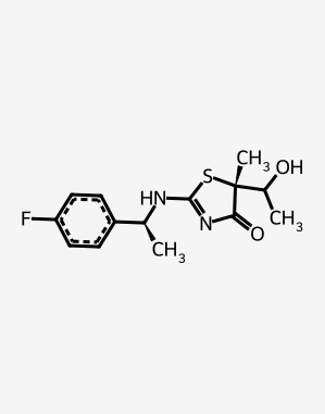 CC(O)[C@@]1(C)SC(N[C@@H](C)c2ccc(F)cc2)=NC1=O